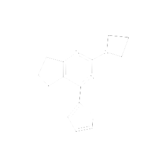 c1csc(-c2nc(N3CCC3)nc3c2CCC3)c1